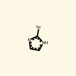 [2H]c1ncc[nH]1